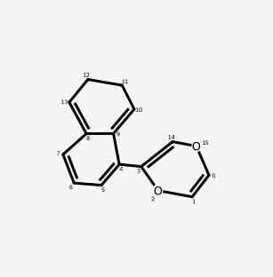 C1=COC(c2cccc3c2=CCCC=3)=CO1